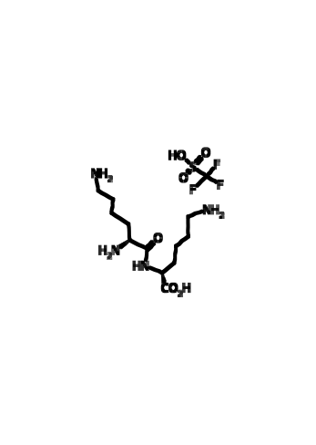 NCCCC[C@H](NC(=O)[C@@H](N)CCCCN)C(=O)O.O=S(=O)(O)C(F)(F)F